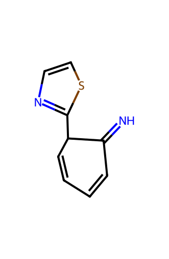 N=C1C=CC=CC1c1nccs1